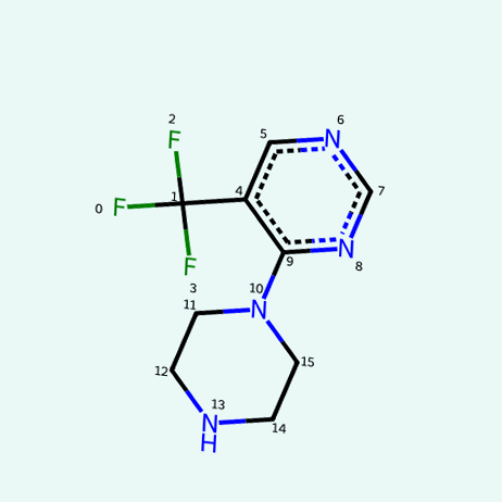 FC(F)(F)c1cncnc1N1CCNCC1